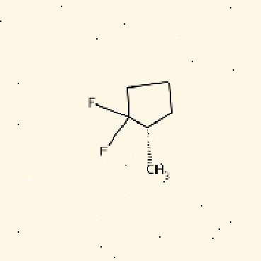 C[C@H]1CCCC1(F)F